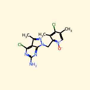 Cc1c[n+]([O-])c(Cn2nc(C)c3c(Cl)nc(N)nc32)c(C)c1Cl